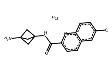 Cl.NC12CC(NC(=O)c3ccc4cc(Cl)ccc4n3)(C1)C2